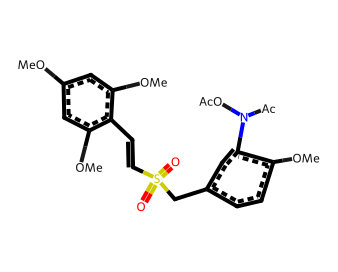 COc1cc(OC)c(C=CS(=O)(=O)Cc2ccc(OC)c(N(OC(C)=O)C(C)=O)c2)c(OC)c1